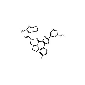 Cc1cccc(-c2nc(C(=O)N3CCC[C@H]3CNC(=O)c3c(C)nc4sccn34)c(-c3ccc(F)cc3)s2)c1